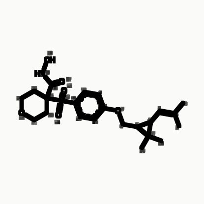 CC(C)=CC1C(COc2ccc(S(=O)(=O)C3(C(=O)NO)CCOCC3)cc2)C1(C)C